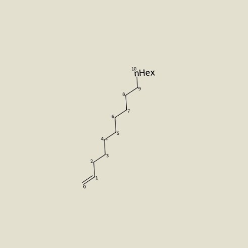 C=CCC[CH]CCCCCCCCCCC